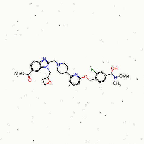 COC(=O)c1ccc2nc(CN3CCC(c4cccc(OCc5ccc(C(O)N(C)OC)cc5F)n4)CC3)n(C[C@@H]3CCO3)c2c1